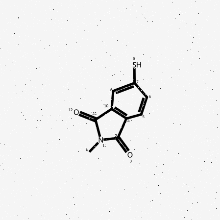 CN1C(=O)c2ccc(S)cc2C1=O